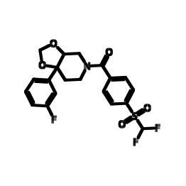 O=C(c1ccc(S(=O)(=O)C(F)F)cc1)N1CCC2(c3cccc(F)c3)OCOC2C1